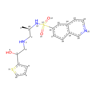 C[C@H](CNCC(O)c1cccs1)NS(=O)(=O)c1ccc2cnccc2c1